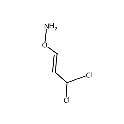 NO/C=C/C(Cl)Cl